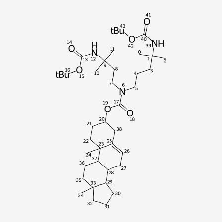 CC(C)(CCCN(CCC(C)(C)NC(=O)OC(C)(C)C)C(=O)OC1CCC2(C)C(=CCC3C4CCCC4(C)CCC32)C1)NC(=O)OC(C)(C)C